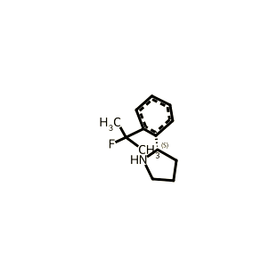 CC(C)(F)c1ccccc1[C@@H]1CCCN1